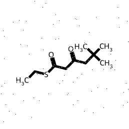 CCSC(=O)CC(=O)CC(C)(C)C